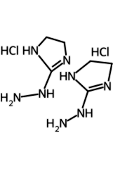 Cl.Cl.NNC1=NCCN1.NNC1=NCCN1